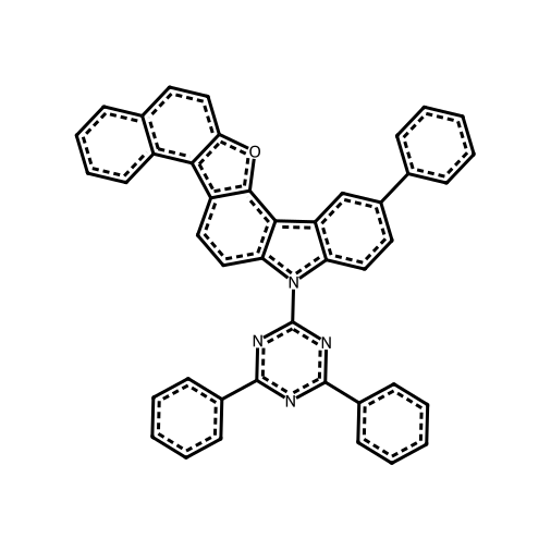 c1ccc(-c2ccc3c(c2)c2c4oc5ccc6ccccc6c5c4ccc2n3-c2nc(-c3ccccc3)nc(-c3ccccc3)n2)cc1